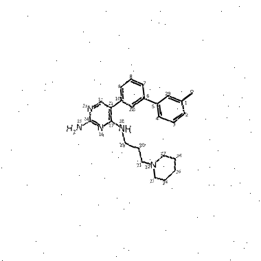 Cc1cccc(-c2cccc(-c3cnc(N)nc3NCCCN3CCCCC3)c2)c1